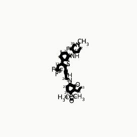 CN1CCC(Nc2cccc3c(CC(F)(F)F)c(C#CCNc4ccc(P(C)(C)=O)c5c4OCC5)sc23)C(F)C1